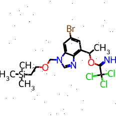 CC(OC(=N)C(Cl)(Cl)Cl)c1cc(Br)cc2c1ncn2COCC[Si](C)(C)C